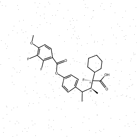 COc1ccc(C(=O)Oc2ccc(C(C)[C@H](C)[C@](F)(C(=O)O)C3CCCCC3)cc2)c(F)c1F